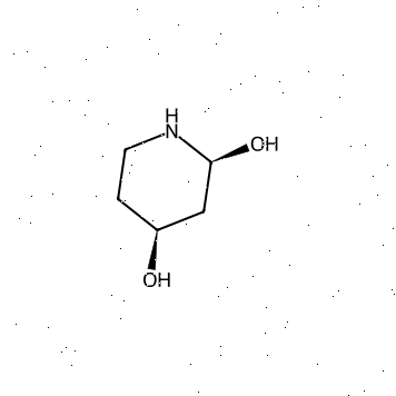 O[C@H]1CCN[C@@H](O)C1